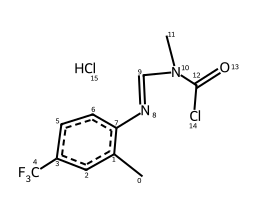 Cc1cc(C(F)(F)F)ccc1N=CN(C)C(=O)Cl.Cl